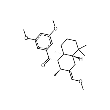 COC=C1C[C@H]2C(C)(C)CCC[C@]2(C)[C@@H](C(=O)c2cc(OC)cc(OC)c2)[C@@H]1C